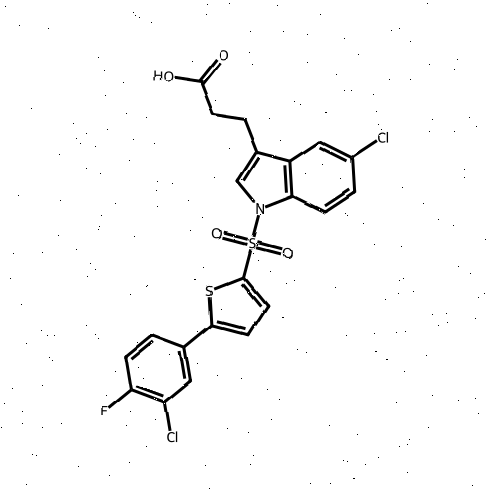 O=C(O)CCc1cn(S(=O)(=O)c2ccc(-c3ccc(F)c(Cl)c3)s2)c2ccc(Cl)cc12